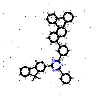 CC1(C)c2ccccc2-c2ccc(-c3nc(-c4ccccc4)nc(-c4cccc(-c5cccc6c5ccc5c7ccccc7c7ccccc7c65)c4)n3)cc21